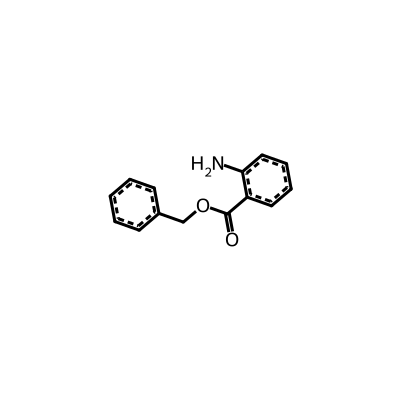 Nc1ccccc1C(=O)OCc1ccccc1